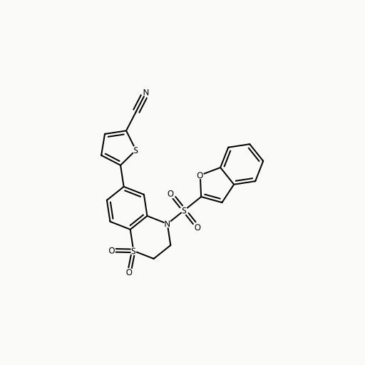 N#Cc1ccc(-c2ccc3c(c2)N(S(=O)(=O)c2cc4ccccc4o2)CCS3(=O)=O)s1